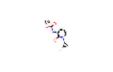 CC(C)(C)OC(=O)Nc1cccn([C@H]2C[C@@H]2F)c1=O